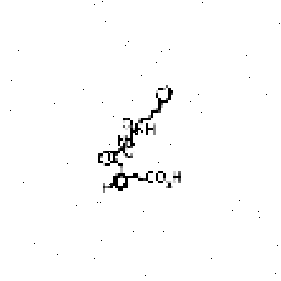 O=C(O)CCc1ccc(F)cc1CC1C2CCC(O2)C1c1nc(C(=O)NCCCCC2CCCCC2)co1